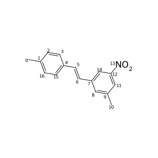 Cc1ccc(/C=C/c2cc(C)cc([N+](=O)[O-])c2)cc1